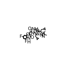 Cc1nnn(C(CC2CC2)C(=O)N(C)[C@@H](CC2CC2)C(=O)N2C[C@@]3(C[C@H]2C(N)=O)Oc2cc(F)cc(F)c2NC3=O)c1C